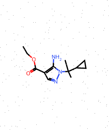 CCOC(=O)c1cnn(C(C)(C)C2CC2)c1N